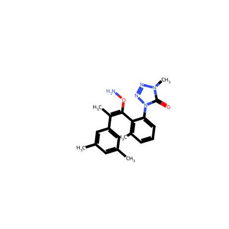 C/C(=C(\ON)c1c(C)cccc1-n1nnn(C)c1=O)c1cc(C)cc(C)c1